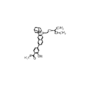 COC(=O)c1ccc(-c2ccc3cc(OCOC(C)OC)c(C45CC6CC(CC(C6)C4)C5)cc3c2)cc1O